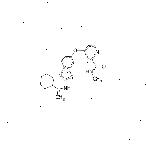 CNC(=O)c1cc(Oc2ccc3nc(N[C@@H](C)C4CCCCC4)sc3c2)ccn1